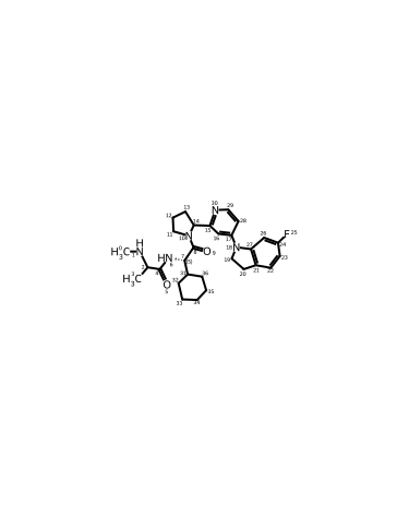 CNC(C)C(=O)N[C@H](C(=O)N1CCCC1c1cc(N2CCc3ccc(F)cc32)ccn1)C1CCCCC1